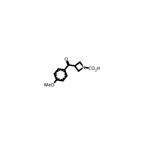 COc1ccc(C(=O)C2CN(C(=O)O)C2)cc1